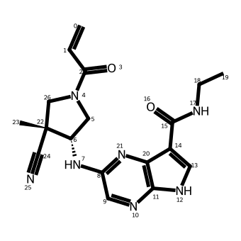 C=CC(=O)N1C[C@H](Nc2cnc3[nH]cc(C(=O)NCC)c3n2)[C@](C)(C#N)C1